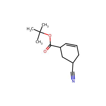 CC(C)(C)OC(=O)C1C=CCC(C#N)C1